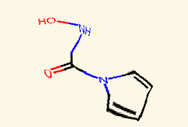 O=C(NO)n1cccc1